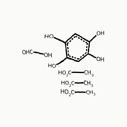 CC(=O)O.CC(=O)O.CC(=O)O.O=CO.Oc1cc(O)c(O)cc1O